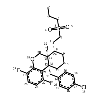 CCCS(=O)(=O)CC[C@@H]1CCC[C@@]2(Cc3ccc(Cl)cc3)c3c(F)ccc(F)c3OC[C@@H]12